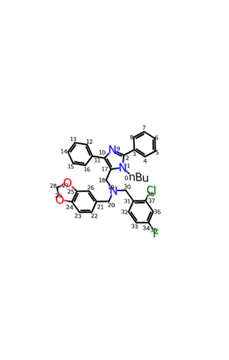 CCCCn1c(-c2ccccc2)nc(-c2ccccc2)c1CN(Cc1ccc2c(c1)OCO2)Cc1ccc(F)cc1Cl